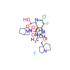 CC(C)(C)OC(=O)N1C2CCC1CN(c1nc(OC[C@@]34CCCN3C[C@H](F)C4)nc3c(F)c(Cl)nc(C(=O)O)c13)C2